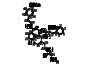 CN[C@H](Cc1ccccc1)C(=O)N[C@@H]1C(=O)N2[C@@H](CC[C@@H]1CCNC(=O)CN)CC[C@H]2C(=O)NCCc1ccc(OC)cc1